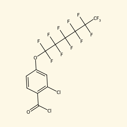 O=C(Cl)c1ccc(OC(F)(F)C(F)(F)C(F)(F)C(F)(F)C(F)(F)C(F)(F)F)cc1Cl